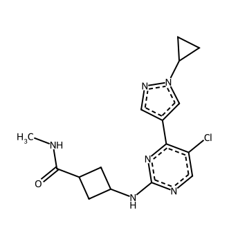 CNC(=O)C1CC(Nc2ncc(Cl)c(-c3cnn(C4CC4)c3)n2)C1